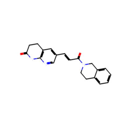 O=C1CCc2cc(/C=C/C(=O)N3CCc4ccccc4C3)cnc2N1